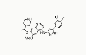 COc1cc2c(Nc3cc(-c4ccc(Cl)c(Cl)c4)[nH]n3)ncnc2cc1OC(C)C1CCNCC1